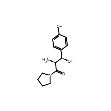 N[C@H](C(=O)N1CCCC1)[C@H](O)c1ccc(O)cc1